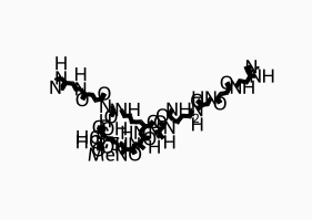 CNC(CSCC(P(=O)(O)O)P(=O)(O)O)C(=O)NC(C)C(=O)NC(CCCCNC(=O)CNC(=O)CCC(=O)NCCc1cnc[nH]1)C(=O)NC(C)C(=O)NC(CCCCNC(=O)CNC(=O)CCC(=O)NCCc1cnc[nH]1)C(N)=O